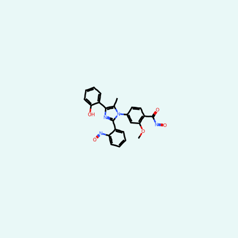 COc1cc(-n2c(-c3ccccc3N=O)nc(-c3ccccc3O)c2C)ccc1C(=O)N=O